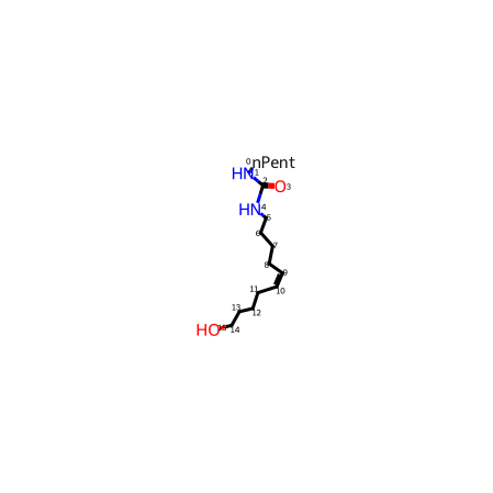 CCCCCNC(=O)NCCCC/C=C\CCCCO